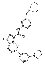 O=C(Nc1ccnc(CN2CCCCC2)c1)c1n[nH]c2ccc(-c3cncc(N4CCCC4)c3)cc12